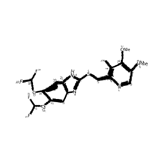 COc1cnc(CSc2nc3cc(OC(F)F)c(OC(F)F)cc3[nH]2)c(C)c1OC